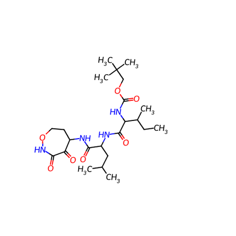 CCC(C)C(NC(=O)OCC(C)(C)C)C(=O)NC(CC(C)C)C(=O)NC1CCONC(=O)C1=O